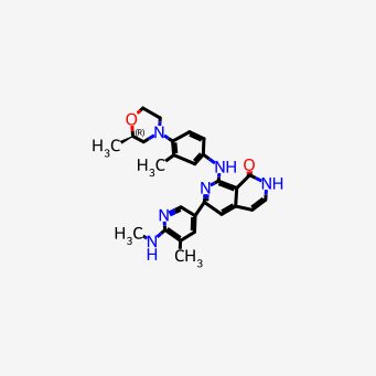 CNc1ncc(-c2cc3cc[nH]c(=O)c3c(Nc3ccc(N4CCO[C@H](C)C4)c(C)c3)n2)cc1C